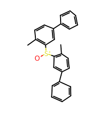 Cc1ccc(-c2ccccc2)cc1[S+]([O-])c1cc(-c2ccccc2)ccc1C